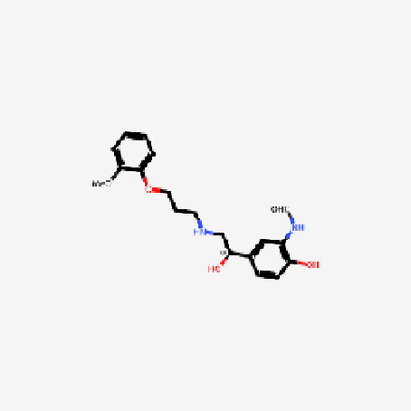 COc1ccccc1OCCCNC[C@H](O)c1ccc(O)c(NC=O)c1